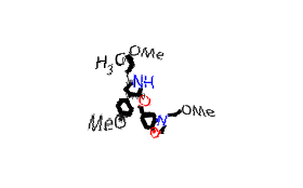 COCCCN1CCOc2ccc(CO[C@H]3CN[C@@H](CC[C@@H](C)OC)C[C@@H]3c3ccc(OC)cc3)cc21